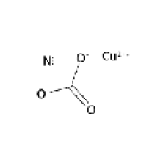 O=C([O-])[O-].[Cu+2].[N]